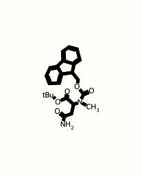 CN(C(=O)OCC1c2ccccc2-c2ccccc21)C(CC(N)=O)C(=O)OC(C)(C)C